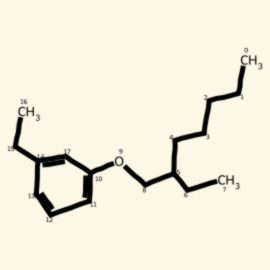 CCCCCC(CC)COc1cccc(CC)c1